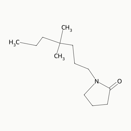 CCCC(C)(C)CCCN1CCCC1=O